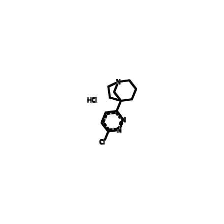 Cl.Clc1ccc(C23CCCN(CC2)C3)nn1